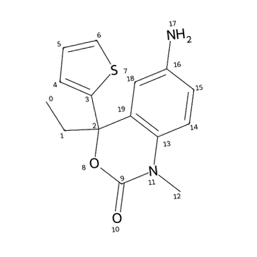 CCC1(c2cccs2)OC(=O)N(C)c2ccc(N)cc21